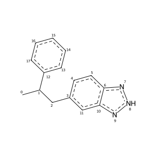 CC(Cc1ccc2n[nH]nc2c1)c1ccccc1